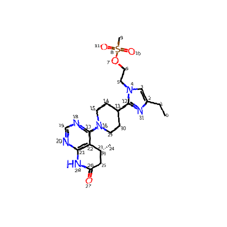 CCc1cn(CCOS(C)(=O)=O)c(C2CCN(c3ncnc4c3[C@H](C)CC(=O)N4)CC2)n1